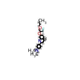 CCCCOCC(CF)OC1=CC[C@H]2C=CC(c3ccc(N(C)CC)cc3)=NC2=C1